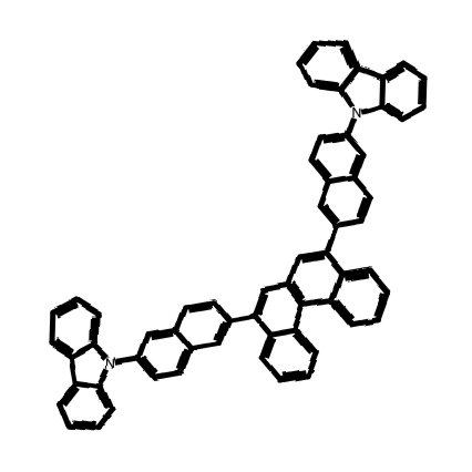 c1ccc2c(c1)c(-c1ccc3cc(-n4c5ccccc5c5ccccc54)ccc3c1)cc1cc(-c3ccc4cc(-n5c6ccccc6c6ccccc65)ccc4c3)c3ccccc3c12